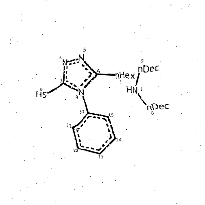 CCCCCCCCCCNCCCCCCCCCC.CCCCCCc1nnc(S)n1-c1ccccc1